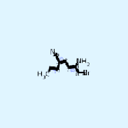 C/C=C/C(C#N)=C\C=C(/N)CBr